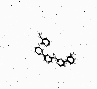 CCOc1cccnc1O[C@@H]1CCCN(c2cncc(Nc3nccc(-c4cccc(OC(C)=O)c4)n3)n2)C1